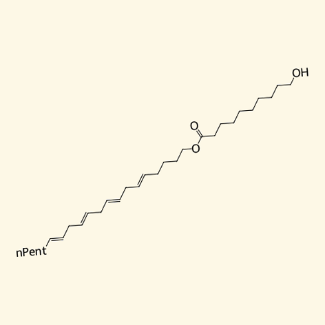 CCCCCC=CCC=CCC=CCC=CCCCCOC(=O)CCCCCCCCCO